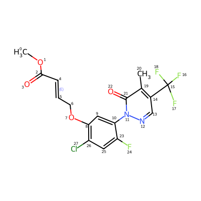 COC(=O)/C=C/COc1cc(-n2ncc(C(F)(F)F)c(C)c2=O)c(F)cc1Cl